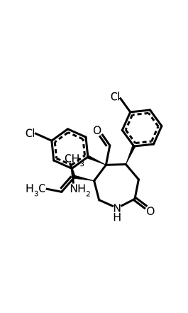 C/C=C(\C)[C@@H]1CNC(=O)C[C@H](c2cccc(Cl)c2)[C@]1(C=O)c1ccc(Cl)cc1N